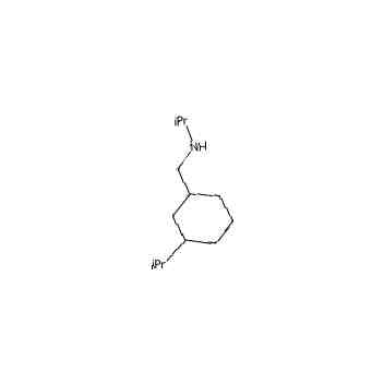 CC(C)NCC1CCCC(C(C)C)C1